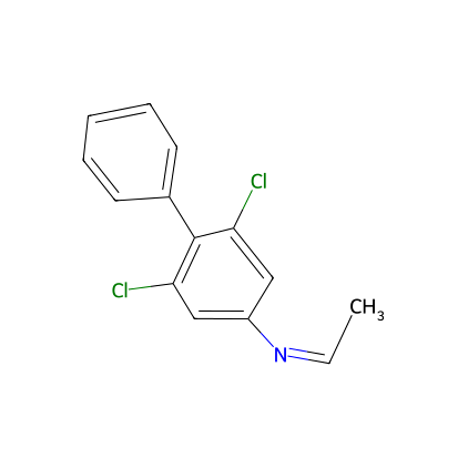 C/C=N\c1cc(Cl)c(-c2ccccc2)c(Cl)c1